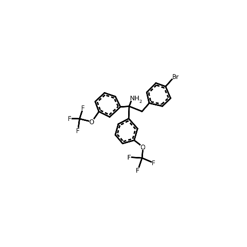 NC(Cc1ccc(Br)cc1)(c1cccc(OC(F)(F)F)c1)c1cccc(OC(F)(F)F)c1